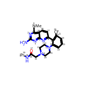 CNc1nc(N)nc2nc(-c3c(N4CCN(CC(=O)NC(C)C)CC4)cccc3C(F)(F)F)ccc12